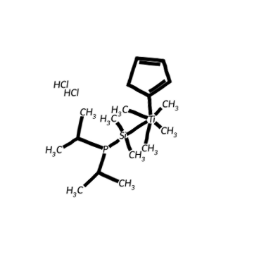 CC(C)P(C(C)C)[Si](C)(C)[Ti]([CH3])([CH3])([CH3])([CH3])[C]1=CC=CC1.Cl.Cl